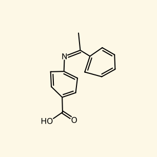 CC(=Nc1ccc(C(=O)O)cc1)c1ccccc1